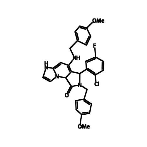 COc1ccc(CNC2=C3C(C(=O)N(Cc4ccc(OC)cc4)C3c3cc(F)ccc3Cl)N3C=CNC3=C2)cc1